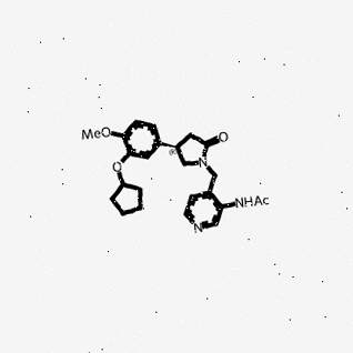 COc1ccc([C@H]2CC(=O)N(Cc3ccncc3NC(C)=O)C2)cc1OC1CCCC1